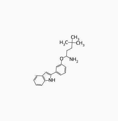 CC(C)(C)CCC(N)Oc1cccc(-c2cc3[c]cccc3[nH]2)c1